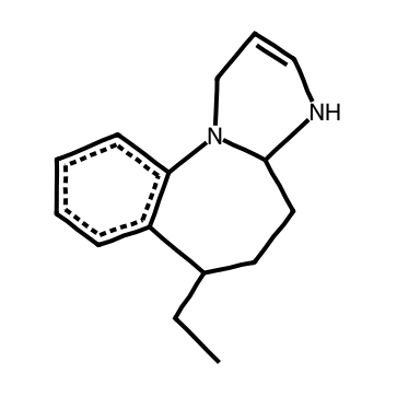 CCC1CCC2NC=CCN2c2ccccc21